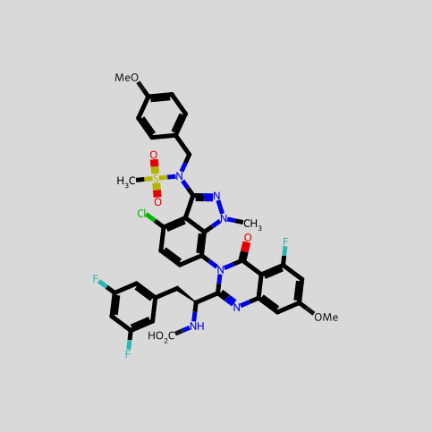 COc1ccc(CN(c2nn(C)c3c(-n4c([C@H](Cc5cc(F)cc(F)c5)NC(=O)O)nc5cc(OC)cc(F)c5c4=O)ccc(Cl)c23)S(C)(=O)=O)cc1